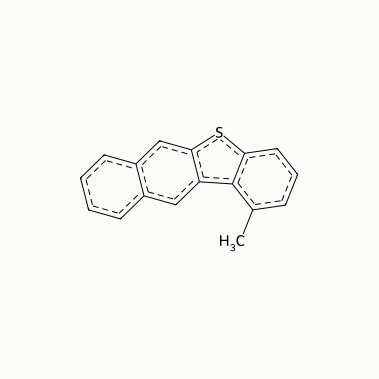 Cc1cccc2sc3cc4ccccc4cc3c12